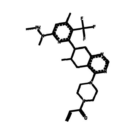 C=CC(=O)N1CCN(c2ncnc3c2CC(C)C(c2nc(N(C)PC)cc(C)c2C(F)(F)F)C3)CC1